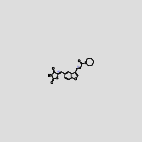 O=C1NC(=O)/C(=C/c2ccc3occ(/C=C/C(=O)N4CCCCC4)c3c2)S1